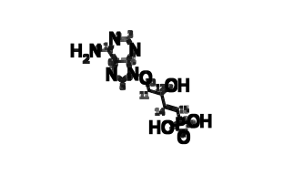 Nc1ncnc2c1ncn2OCC(O)C=CP(=O)(O)O